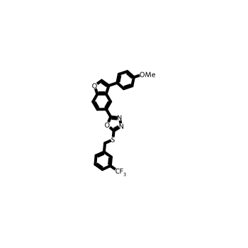 COc1ccc(-c2coc3ccc(-c4nnc(SCc5cccc(C(F)(F)F)c5)o4)cc23)cc1